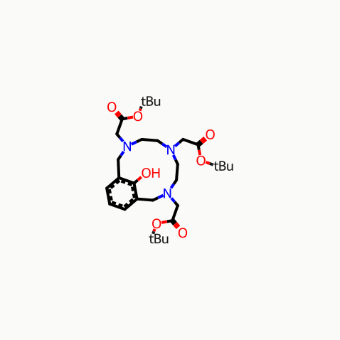 CC(C)(C)OC(=O)CN1CCN(CC(=O)OC(C)(C)C)Cc2cccc(c2O)CN(CC(=O)OC(C)(C)C)CC1